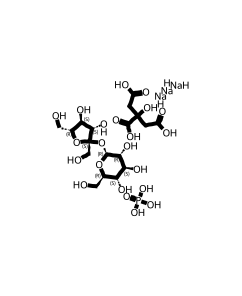 O=C(O)CC(O)(CC(=O)O)C(=O)O.O=P(O)(O)O.OC[C@H]1O[C@@](CO)(O[C@H]2O[C@H](CO)[C@@H](O)[C@H](O)[C@H]2O)[C@@H](O)[C@@H]1O.[NaH].[NaH].[NaH]